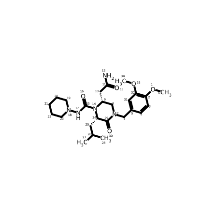 COc1ccc(CN2C[C@@H](CC(N)=O)N(C(=O)NN3CCCCC3)[C@@H](CC(C)C)C2=O)cc1OC